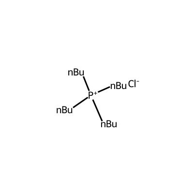 CCCC[P+](CCCC)(CCCC)CCCC.[Cl-]